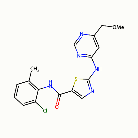 COCc1cc(Nc2ncc(C(=O)Nc3c(C)cccc3Cl)s2)ncn1